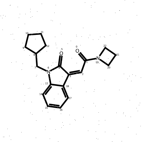 O=C(C=C1C(=O)N(CC2CCCC2)c2ccccc21)N1CCC1